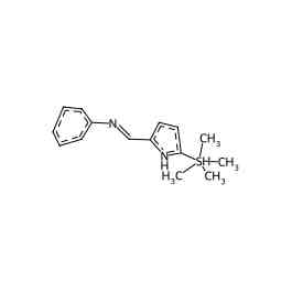 C[SH](C)(C)(C)c1ccc(/C=N/c2ccccc2)[nH]1